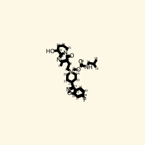 Cc1nc2n(c(=O)c1CC[N+]1(COC(=O)NCC(C)C)CCC(c3noc4cc(F)ccc34)CC1)CCCC2O